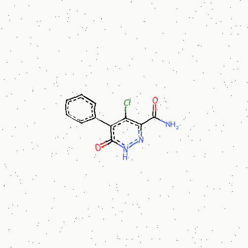 NC(=O)c1n[nH]c(=O)c(-c2ccccc2)c1Cl